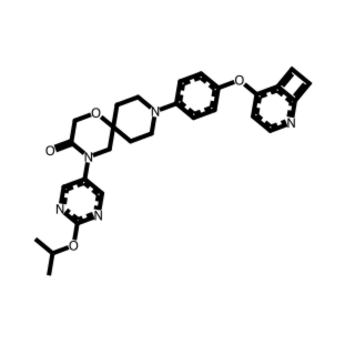 CC(C)Oc1ncc(N2CC3(CCN(c4ccc(Oc5ccnc6c5=CC=6)cc4)CC3)OCC2=O)cn1